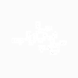 CCOC(=O)C1Oc2cc(C(=O)c3c(Br)cnn3C)c(Cl)c(Cl)c2O1